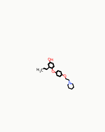 CC=Cc1cc(O)ccc1Oc1ccc(OCCN2CCCCC2)cc1